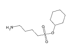 NCCCCS(=O)(=O)OC1CCCCC1